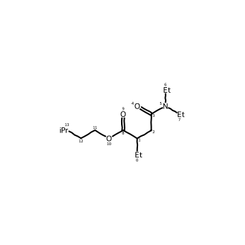 CCC(CC(=O)N(CC)CC)C(=O)OCCC(C)C